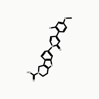 COc1ccc(-c2ccn(-c3ccc4c5c(oc4c3)CCN(C(=O)O)C5)c(=O)c2)c(Cl)c1